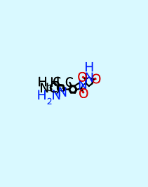 Cc1cc(-c2ccc3c(c2C)CN(C2CCC(=O)NC2=O)C3=O)nc(N)c1C#N